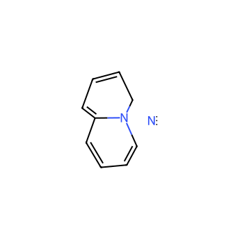 C1=CCN2C=CC=CC2=C1.[N]